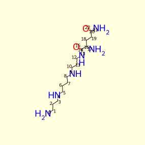 NCCCNCCCCNCCCNC(=O)C(N)CCC(N)=O